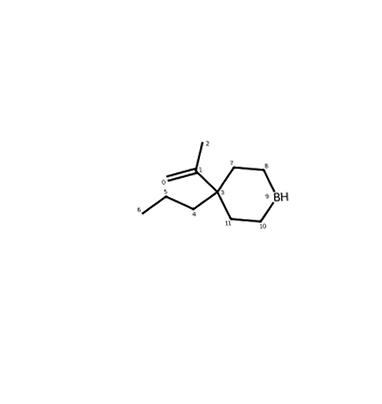 C=C(C)C1(CCC)CCBCC1